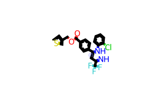 N=C(/C=C(\Nc1ccccc1Cl)c1ccc(C(=O)OCc2ccsc2)cc1)C(F)(F)F